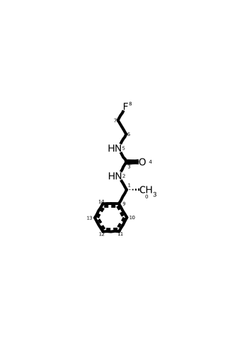 C[C@@H](NC(=O)NCCF)c1ccccc1